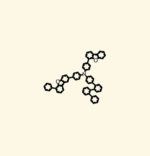 c1ccc(-c2ccccc2-c2ccccc2-c2ccc(N(c3ccc(-c4ccc5oc6c(-c7ccccc7)cccc6c5c4)cc3)c3ccc(-c4cccc5c4oc4ccccc45)cc3)cc2)cc1